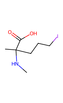 CNC(C)(CCCI)C(=O)O